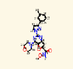 CON(C)C(=O)c1cc2nc(-n3ccc(-c4cccc(C)c4)n3)nc(N3CCOCC3)c2o1